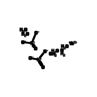 O.O.O.O.O.O.O=[N+]([O-])[O-].O=[N+]([O-])[O-].[Yb+2]